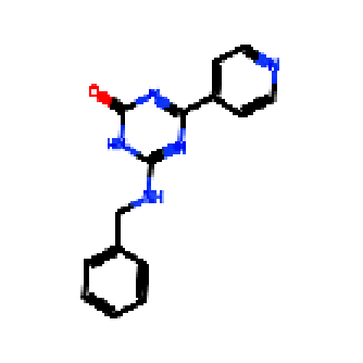 O=c1nc(-c2ccncc2)nc(NCc2ccccc2)[nH]1